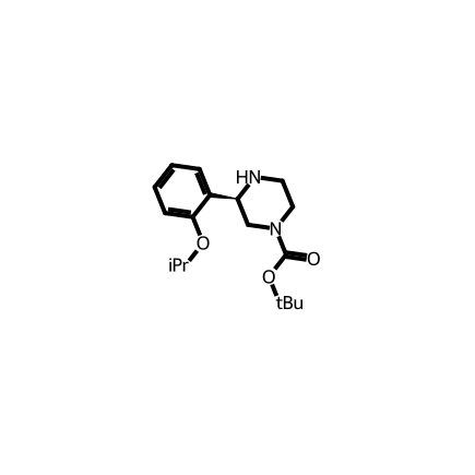 CC(C)Oc1ccccc1[C@@H]1CN(C(=O)OC(C)(C)C)CCN1